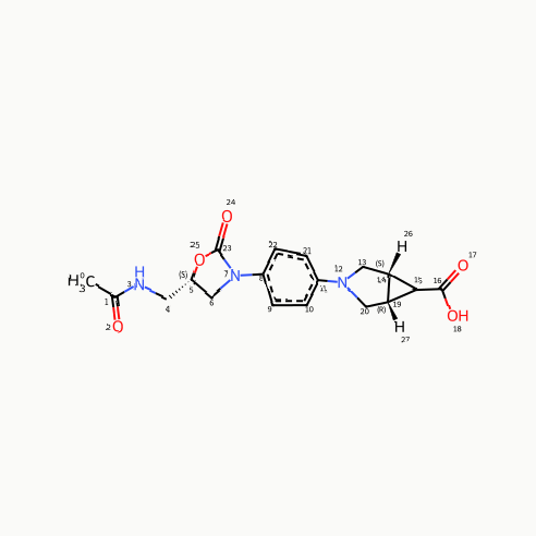 CC(=O)NC[C@H]1CN(c2ccc(N3C[C@@H]4C(C(=O)O)[C@@H]4C3)cc2)C(=O)O1